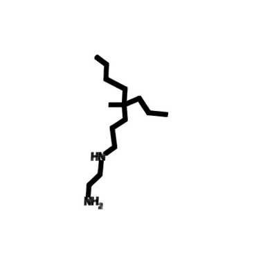 CCCCC(C)(CCC)CCCNCCN